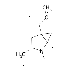 COCC12CC1N(I)[C@H](C)C2